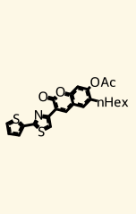 CCCCCCc1cc2cc(-c3csc(-c4cccs4)n3)c(=O)oc2cc1OC(C)=O